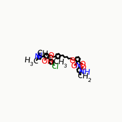 C=C1CCC(N2C(=O)c3cccc(OCCCCCc4ccc(COc5ccc(-c6cc(C)nn6C)c(O)c5-c5ccc(Cl)c(C)c5)cc4)c3C2=O)C(=O)N1